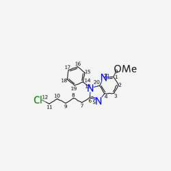 COc1ccc2nc(CCCCCCl)n(-c3ccccc3)c2n1